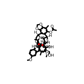 COc1ccc2[nH]c3c(c2c1)C[C@H](CO)N[C@]31CS[C@@H]2c3c(OC(C)=O)c(C)c4c(c3[C@H](COC1=O)N1[C@@H]2[C@@H]2c3c(cc(C)c(OC)c3O)CC1(C)CN2C)OCO4